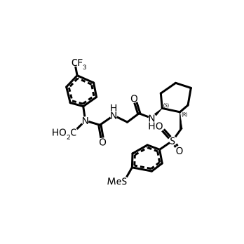 CSc1ccc(S(=O)(=O)C[C@@H]2CCCC[C@@H]2NC(=O)CNC(=O)N(C(=O)O)c2ccc(C(F)(F)F)cc2)cc1